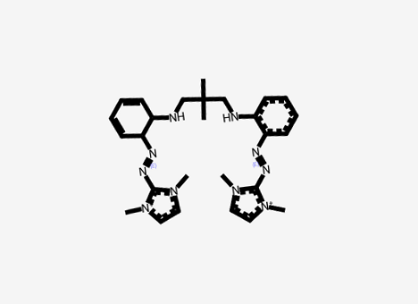 Cn1cc[n+](C)c1/N=N/c1ccccc1NCC(C)(C)CNC1C=CC=CC1/N=N/c1n(C)cc[n+]1C